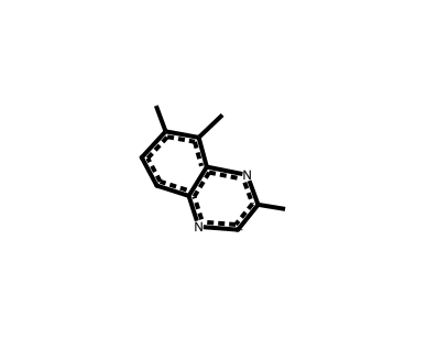 Cc1[c]nc2ccc(C)c(C)c2n1